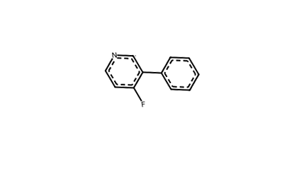 Fc1ccn[c]c1-c1ccccc1